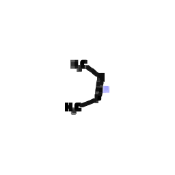 C/N=P\C